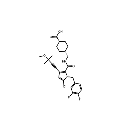 COC(C)(C)C#Cc1nc(Cl)n(Cc2ccc(F)c(F)c2)c1C(=O)NC[C@H]1CC[C@H](C(=O)O)CC1